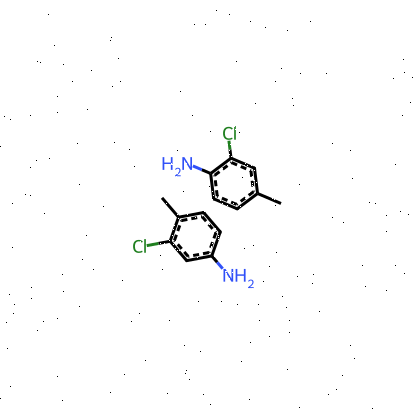 Cc1ccc(N)c(Cl)c1.Cc1ccc(N)cc1Cl